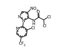 O=C(Nc1c([N+](=O)[O-])cnn1-c1ncc(C(F)(F)F)cc1Cl)C(Cl)Cl